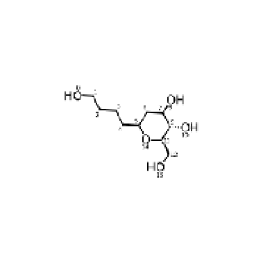 OCCCCC1C[C@@H](O)[C@H](O)[C@@H](CO)O1